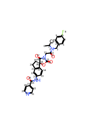 CC(N(Cc1ccc(F)cc1)C(=O)CN1C(=O)O[C@@]2(CCc3cc(NC(=O)c4ccncc4)ccc32)C1=O)C(F)(F)F